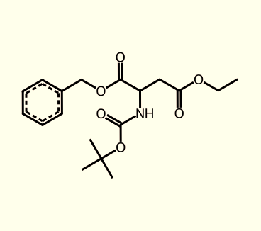 CCOC(=O)CC(NC(=O)OC(C)(C)C)C(=O)OCc1ccccc1